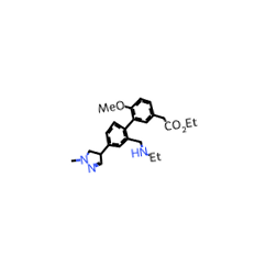 CCNCc1cc(C2C=NN(C)C2)ccc1-c1cc(CC(=O)OCC)ccc1OC